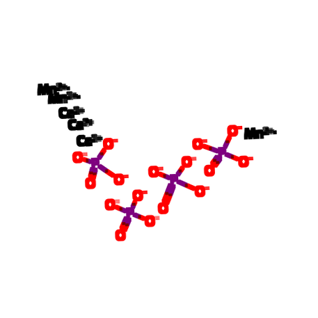 O=P([O-])([O-])[O-].O=P([O-])([O-])[O-].O=P([O-])([O-])[O-].O=P([O-])([O-])[O-].[Ca+2].[Ca+2].[Ca+2].[Mn+2].[Mn+2].[Mn+2]